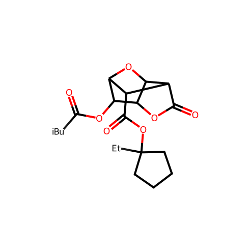 CCC(C)C(=O)OC1C2OC(=O)C3C2OC1C3C(=O)OC1(CC)CCCC1